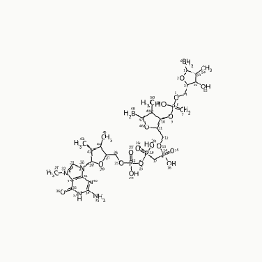 BC1OC(COP(=C)(O)OC2C(COP(=O)(O)CP(=O)(O)OP(=O)(O)OCC3OC(n4c[n+](C)c5c(=O)[nH]c(N)nc54)C(C)C3C)OC(B)C2C)C(O)C1C